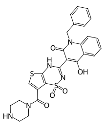 O=C(c1csc2c1S(=O)(=O)N=C(c1c(O)c3ccccc3n(Cc3ccccc3)c1=O)N2)N1CCNCC1